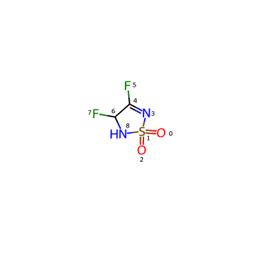 O=S1(=O)N=C(F)C(F)N1